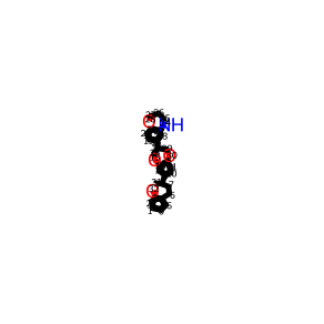 c1ccc2c(c1)CCC(c1ccc3c(c1)OCC(c1ccc4c(c1)NCCCO4)CO3)CO2